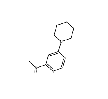 CNc1cc(N2CCCCC2)ccn1